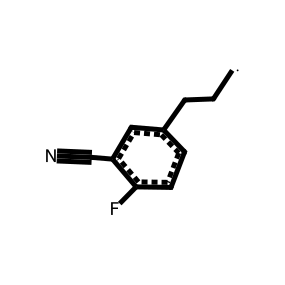 [CH2]CCc1ccc(F)c(C#N)c1